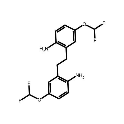 Nc1ccc(OC(F)F)cc1CCc1cc(OC(F)F)ccc1N